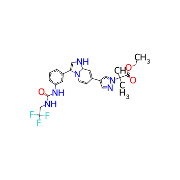 CCOC(=O)C(C)(C)n1cc(C2=CC3NC=C(c4cccc(NC(=O)NCC(F)(F)F)c4)N3C=C2)cn1